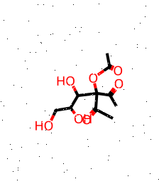 CC(=O)OC(C(C)=O)(C(C)=O)C(O)C(O)CO